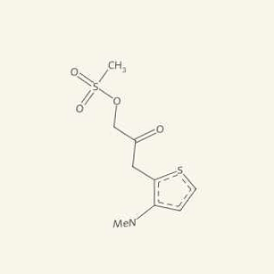 CNc1ccsc1CC(=O)COS(C)(=O)=O